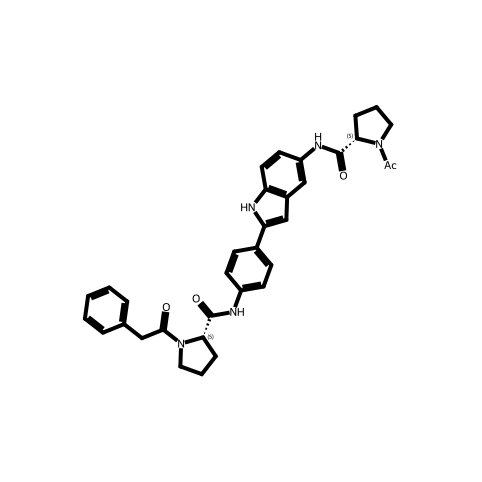 CC(=O)N1CCC[C@H]1C(=O)Nc1ccc2[nH]c(-c3ccc(NC(=O)[C@@H]4CCCN4C(=O)Cc4ccccc4)cc3)cc2c1